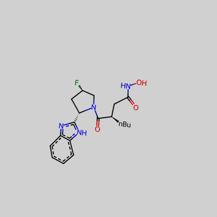 CCCC[C@H](CC(=O)NO)C(=O)N1C[C@H](F)C[C@H]1c1nc2ccccc2[nH]1